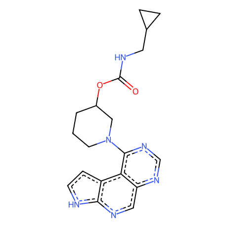 O=C(NCC1CC1)OC1CCCN(c2ncnc3cnc4[nH]ccc4c23)C1